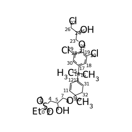 CCS(=O)(=O)CC(O)COC1(C)C=CC(C(C)(C)c2cc(Cl)c(OCC(O)CCl)c(Cl)c2)=CC1